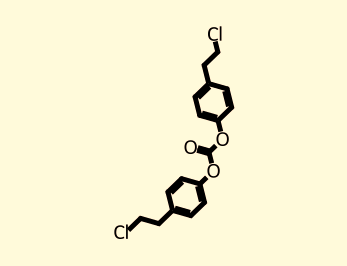 O=C(Oc1ccc(CCCl)cc1)Oc1ccc(CCCl)cc1